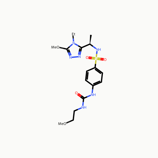 CCn1c(OC)nnc1[C@@H](C)NS(=O)(=O)c1ccc(NC(=O)NCCOC)cc1